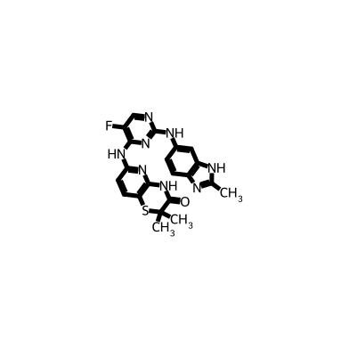 Cc1nc2ccc(Nc3ncc(F)c(Nc4ccc5c(n4)NC(=O)C(C)(C)S5)n3)cc2[nH]1